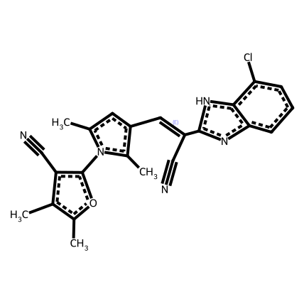 Cc1oc(-n2c(C)cc(/C=C(\C#N)c3nc4cccc(Cl)c4[nH]3)c2C)c(C#N)c1C